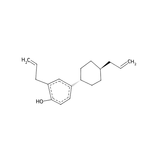 C=CCc1cc([C@H]2CC[C@H](CC=C)CC2)ccc1O